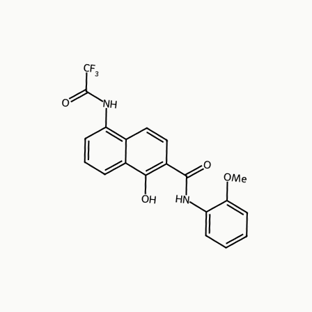 COc1ccccc1NC(=O)c1ccc2c(NC(=O)C(F)(F)F)cccc2c1O